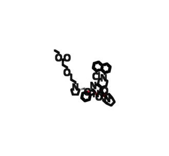 CCOC(=O)CCOCCCN1CCC[C@H]1COc1nc2c(c(N3CC4CCC(C3)N4C(=O)OCc3ccccc3)n1)CCN(c1cccc3cccc(Cl)c13)C2